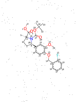 COC(=O)[C@]1(C)CC[C@H](c2ccc(OCc3ccccc3F)c(OC)c2)N1C(=O)OC(C)(C)C